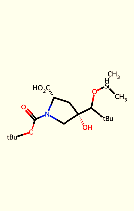 C[SiH](C)OC(C(C)(C)C)[C@]1(O)C[C@@H](C(=O)O)N(C(=O)OC(C)(C)C)C1